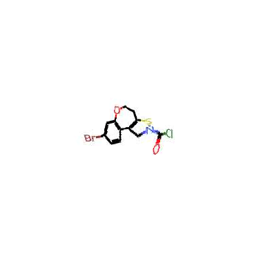 O=C(Cl)N1CC2=C(CCOc3cc(Br)ccc32)S1